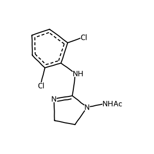 CC(=O)NN1CCN=C1Nc1c(Cl)cccc1Cl